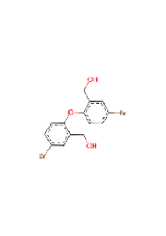 OCc1cc(Br)ccc1Oc1ccc(Br)cc1CO